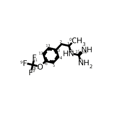 CC(Cc1ccc(OC(F)(F)F)cc1)NC(=N)N